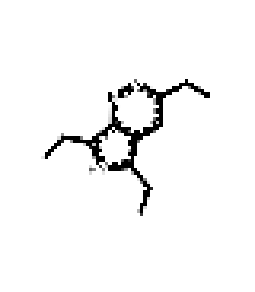 CCc1cc2c(CC)[nH]c(CC)c2nn1